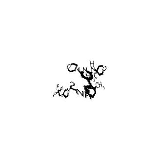 Cc1ccc(NC(=O)N2CC[C@@H](CC(F)(F)F)C2)cc1-c1cc(NC2(C)CCOCC2)nc(N2CCOCC2)c1